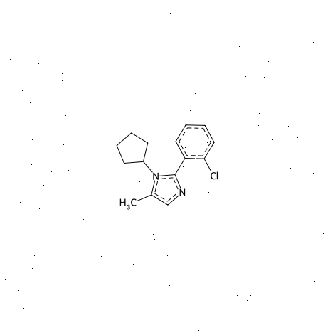 Cc1cnc(-c2ccccc2Cl)n1C1CCCC1